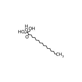 CCCCCCCCCCCCCCCC(=O)C(O)(CO)CO